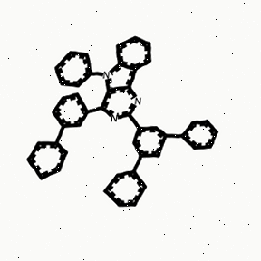 c1ccc(-c2cc(-c3ccccc3)cc(-c3nc(-c4cccc(-c5ccccc5)c4)c4c(n3)c3ccccc3n4-c3ccccc3)c2)cc1